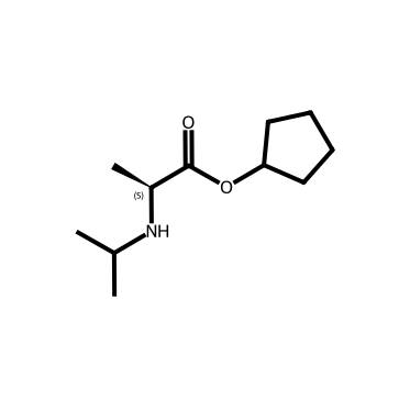 CC(C)N[C@@H](C)C(=O)OC1CCCC1